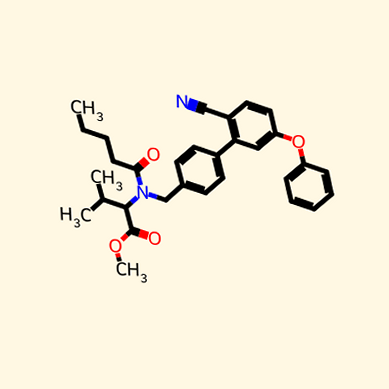 CCCCC(=O)N(Cc1ccc(-c2cc(Oc3ccccc3)ccc2C#N)cc1)C(C(=O)OC)C(C)C